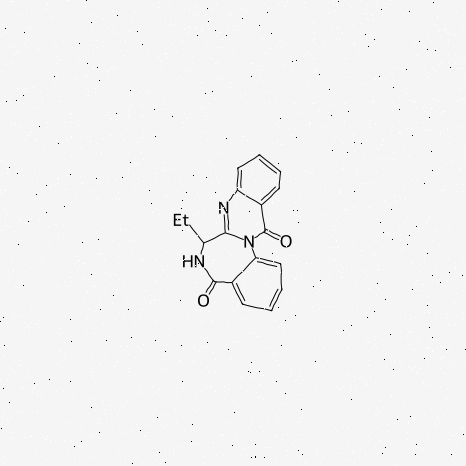 CCC1NC(=O)c2ccccc2-n2c1nc1ccccc1c2=O